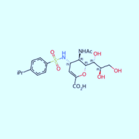 CC(=O)N[C@H]1[C@H]([C@H](O)[C@H](O)CO)OC(C(=O)O)=C[C@@H]1NS(=O)(=O)c1ccc(C(C)C)cc1